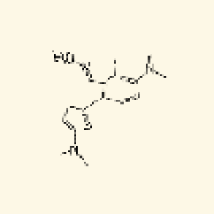 Cc1c(N(C)C)ccc(C2=CC(N(C)C)=CC2)c1C=NO